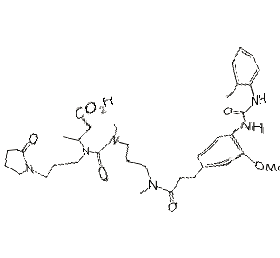 COc1cc(CCC(=O)N(C)CCCN(C)C(=O)N(CCCN2CCCC2=O)C(C)CC(=O)O)ccc1NC(=O)Nc1ccccc1C